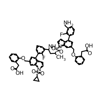 CC(CC(N)c1cccc(-c2cc(COc3ccccc3CC(=O)O)cc3c2ccn3S(=O)(=O)C2CC2)c1F)S(=O)(=O)n1ccc2c(-c3cccc(CN)c3F)cc(COc3ccccc3CC(=O)O)cc21